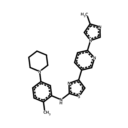 Cc1cn(-c2ccc(-c3csc(Nc4cc(N5CCCCC5)ccc4C)n3)cn2)cn1